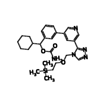 C[Si](C)(C)CCOCn1cnnc1-c1cncc(-c2cccc(C(OC(N)=O)C3CCCCC3)c2)c1